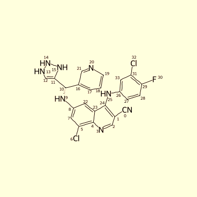 N#Cc1cnc2c(Cl)cc(N[C@H](C3=CNNN3)c3cccnc3)cc2c1Nc1ccc(F)c(Cl)c1